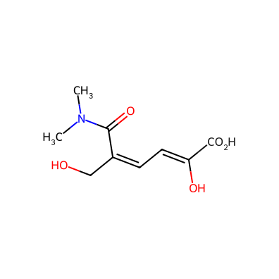 CN(C)C(=O)C(=CC=C(O)C(=O)O)CO